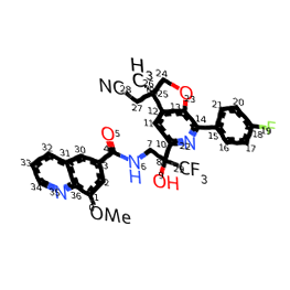 COc1cc(C(=O)NCC(O)(c2cc3c(c(-c4ccc(F)cc4)n2)OC[C@]3(C)CC#N)C(F)(F)F)cc2cccnc12